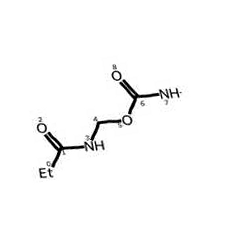 CCC(=O)NCOC([NH])=O